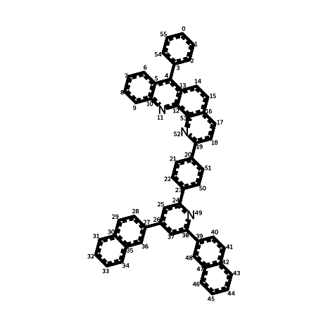 c1ccc(-c2c3ccccc3nc3c2ccc2ccc(-c4ccc(-c5cc(-c6ccc7ccccc7c6)cc(-c6ccc7ccccc7c6)n5)cc4)nc23)cc1